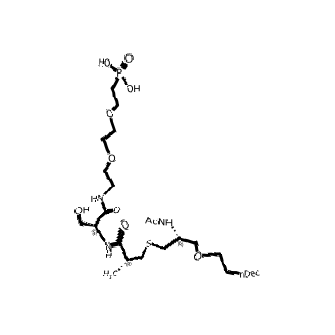 CCCCCCCCCCCCOC[C@H](CSC[C@H](C)C(=O)N[C@@H](CO)C(=O)NCCOCCOCCP(=O)(O)O)NC(C)=O